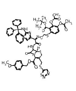 COc1ccc(COC(=O)C2=C(CSc3cnns3)CS[C@H]3[C@H](NC(=O)/C(=N\OCSc4ccc(OC(C)=O)c(OC(C)=O)c4C(=O)OC(C)(C)C)c4csc(NC(c5ccccc5)(c5ccccc5)c5ccccc5)n4)C(=O)N23)cc1